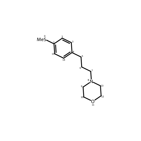 CSc1ccc(CCCN2CCOCC2)cc1